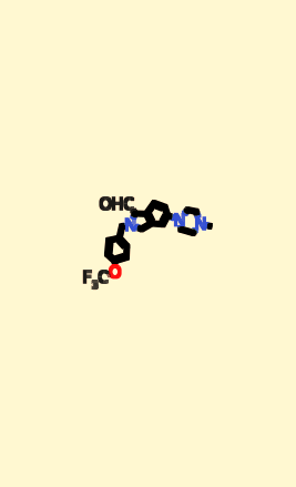 CN1CCN(c2ccc3c(c2)CN(Cc2ccc(OC(F)(F)F)cc2)C3C=O)CC1